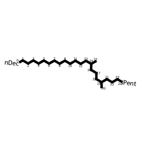 CCCCCCCCCCCCCCCCCCCCCCCC(C)CCCC(C)CCCC(C)CCC